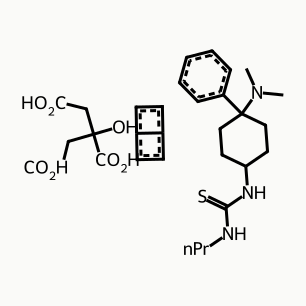 CCCNC(=S)NC1CCC(c2ccccc2)(N(C)C)CC1.O=C(O)CC(O)(CC(=O)O)C(=O)O.c1cc2ccc1-2